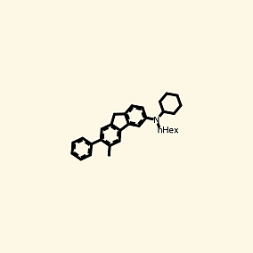 CCCCCCN(c1ccc2c(c1)-c1cc(C)c(-c3ccccc3)cc1C2)C1CCCCC1